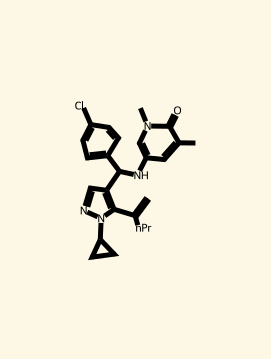 C=C(CCC)c1c(C(Nc2cc(C)c(=O)n(C)c2)c2ccc(Cl)cc2)cnn1C1CC1